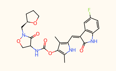 Cc1[nH]c(/C=C2\C(=O)Nc3ccc(F)cc32)c(C)c1OC(=O)NC1CON(C[C@H]2CCCO2)C1=O